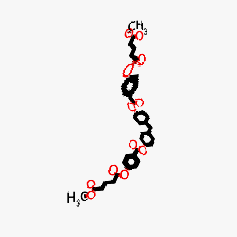 COC(=O)CCCC(=O)Oc1ccc(C(=O)OC2CCC(CC3CCC(OC(=O)c4ccc(OC(=O)CCCC(=O)OC)cc4)CC3)CC2)cc1